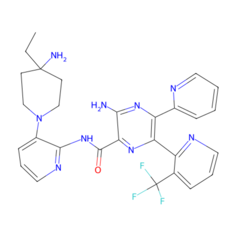 CCC1(N)CCN(c2cccnc2NC(=O)c2nc(-c3ncccc3C(F)(F)F)c(-c3ccccn3)nc2N)CC1